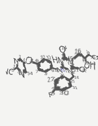 N#Cc1ncc(Oc2ccc(/N=c3\[nH]c(=O)n(C[C@H](O)CO)c(=O)n3Cc3ccc(F)cc3)cc2)cn1